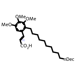 CCCCCCCCCCCCCCCCCCCCc1c(/C=C/C(=O)O)cc(OC)c(OC)c1OC